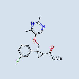 COC(=O)[C@@H]1C[C@@]1(COc1cnc(C)nc1C)c1cccc(F)c1